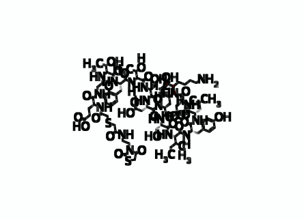 CC[C@H](C)[C@H](NC(=O)[C@H](CO)NC(=O)[C@H](Cc1ccc(O)cc1)NC(=O)[C@H](CC(=O)O)NC(=O)[C@H](CO)NC(=O)[C@@H](NC(=O)[C@H](Cc1ccccc1)NC(=O)[C@@H](NC(=O)CNC(=O)[C@H](CCC(=O)O)NC(=O)CSCC(=O)NCCN1C(=O)CSC1=O)[C@@H](C)O)[C@@H](C)O)C(=O)N[C@@H](Cc1ccc(O)cc1)C(=O)N[C@@H](CC(C)C)C(=O)N[C@@H](CC(=O)O)C(=O)N[C@H](C)CCCCN